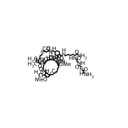 COc1cc2cc(c1Cl)N(C)C(=O)C[C@H](OC(=O)[C@H](C)N(C)C(=O)CCS[C@H](CC(=O)NCC1CCC(C(=O)NCCCCC(NC(=O)CNC(=O)CNC(=O)CN)C(N)=O)CC1)C(=O)O)[C@]1(C)O[C@H]1[C@H](C)C1C[C@@](O)(NC(=O)O1)[C@H](OC)/C=C/C=C(\C)C2